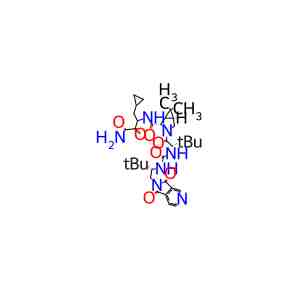 CC(C)(C)[C@H](NC(=O)N[C@H](CN1C(=O)c2ccncc2C1=O)C(C)(C)C)C(=O)N1C[C@H]2C([C@H]1C(=O)NC(CC1CC1)C(=O)C(N)=O)C2(C)C